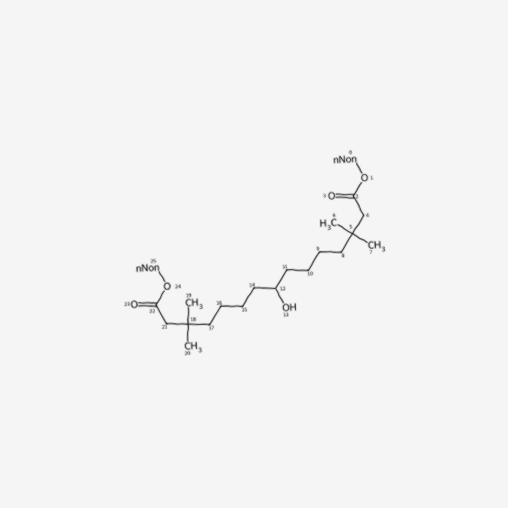 CCCCCCCCCOC(=O)CC(C)(C)CCCCC(O)CCCCC(C)(C)CC(=O)OCCCCCCCCC